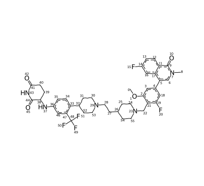 COc1cc(-c2cn(C)c(=O)c3ccc(F)cc23)cc(F)c1CN1CCC(CCN2CCC(c3ccc(NC4CCC(=O)NC4=O)cc3C(F)(F)F)CC2)CC1